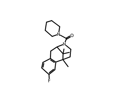 CC12CCN(C(=O)N3CCCCC3)C(Cc3ccc(F)cc31)C2(C)C